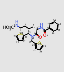 O=C(O)NCCCC[C@H](NC(=O)c1ccccc1)C(=O)N(Cc1cccs1)Cc1cccs1